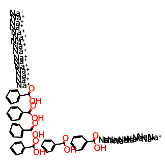 O=C(O)c1ccccc1.O=C(O)c1ccccc1.O=C(O)c1ccccc1.O=C(O)c1ccccc1.O=C(O)c1ccccc1.O=C(O)c1ccccc1.[Na+].[Na+].[Na+].[Na+].[Na+].[Na+].[Na+].[Na+].[Na+].[Na+].[Na+].[Na+].[Na+].[Na+].[Na+].[Na+].[Na+].[Na+].[Na+].[Na+].[Na+].[Na+].[Na+].[Na+].[Na+].[Na+].[Na+]